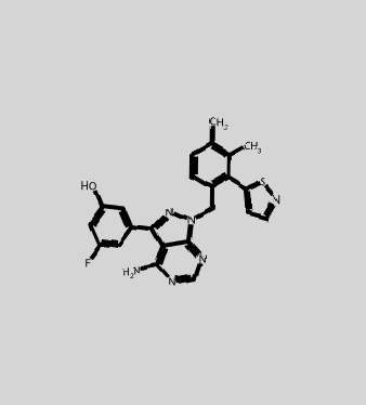 Cc1ccc(Cn2nc(-c3cc(O)cc(F)c3)c3c(N)ncnc32)c(-c2ccns2)c1C